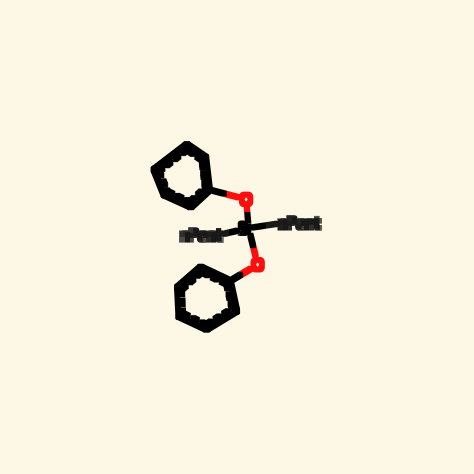 CCCCC[Si](CCCCC)(Oc1ccccc1)Oc1ccccc1